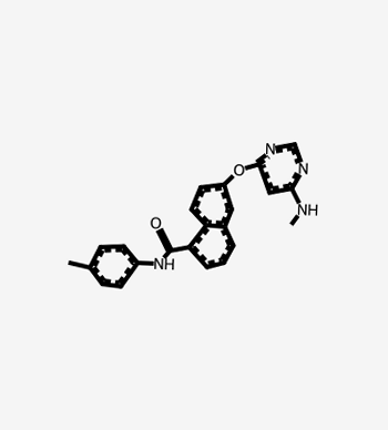 CNc1cc(Oc2ccc3c(C(=O)Nc4ccc(C)cc4)cccc3c2)ncn1